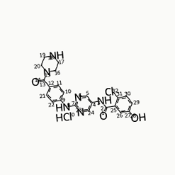 Cl.O=C(Nc1cnc(Nc2ccc(C(=O)N3CCNCC3)cc2)nc1)c1cc(O)ccc1Cl